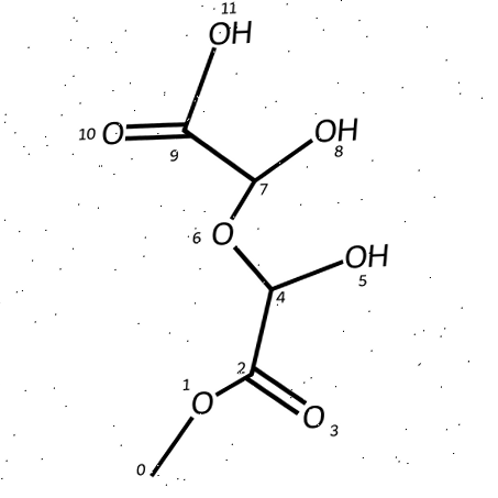 COC(=O)C(O)OC(O)C(=O)O